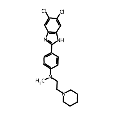 CN(CCN1CCCCC1)c1ccc(-c2nc3cc(Cl)c(Cl)cc3[nH]2)cc1